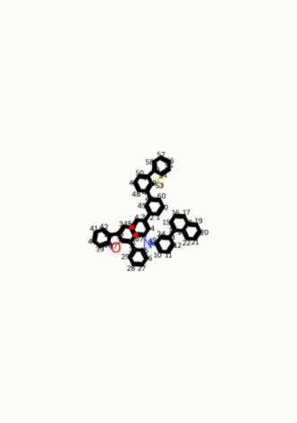 c1cc(-c2cccc(N(c3cccc(-c4cccc5ccccc45)c3)c3ccccc3-c3cccc4c3oc3ccccc34)c2)cc(-c2cccc3c2sc2ccccc23)c1